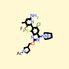 CC(=O)N1CCC(COc2nc(N3CC4CCC(C3)N4)c3cc(Cl)c(-c4nc(N)cc(C)c4C(F)(F)F)c(F)c3n2)C1